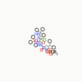 O=C(O)C1=C(OS(=O)(=O)C(F)(F)F)C(C(c2ccccc2)c2ccccc2)CC2C(NC(=O)C(=NOC(c3ccccc3)(c3ccccc3)c3ccccc3)c3nc(NC(c4ccccc4)(c4ccccc4)c4ccccc4)sc3Cl)C(=O)N12